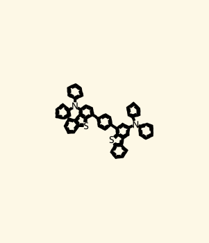 c1ccc(N(c2ccccc2)c2cc(-c3ccc(-c4ccc(N(c5ccccc5)c5ccccc5)c5c4sc4ccccc45)cc3)c3sc4ccccc4c3c2)cc1